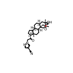 C[C@@]1(O)CC[C@@]2(CS(C)(=O)=O)[C@@H](CC[C@H]3[C@@H]4CC[C@H](C(=O)Cn5cc(C#N)cn5)[C@@]4(C)CC[C@@H]32)C1